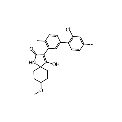 COC1CCC2(CC1)NC(=O)C(c1cc(-c3ccc(F)cc3Cl)ccc1C)=C2O